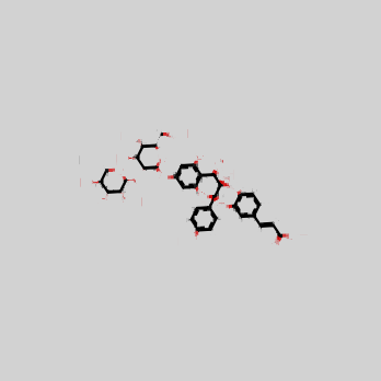 C[C@@H]1O[C@@H](O[C@H]2C(Oc3cc(O)c4c(c3)OC3(c5ccc(O)cc5)Oc5cc(/C=C/C(=O)O)ccc5OC3(O)C4=O)O[C@H](CO)[C@@H](O)[C@@H]2O)[C@H](O)[C@H](O)[C@H]1O